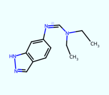 CCN(/C=N\c1ccc2cn[nH]c2c1)CC